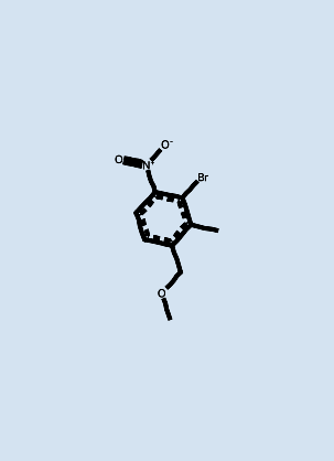 COCc1ccc([N+](=O)[O-])c(Br)c1C